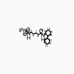 CC(C)S(=O)(=O)NCCCCC(=O)NC1CCCCC1C1CCCCC1